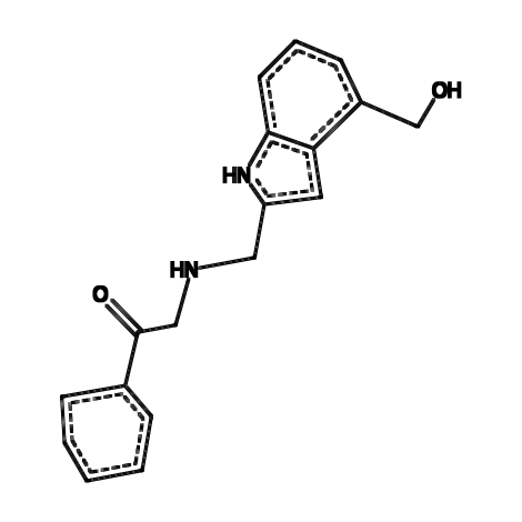 O=C(CNCc1cc2c(CO)cccc2[nH]1)c1ccccc1